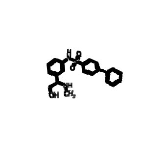 CNC(CO)c1cccc(NS(=O)(=O)c2ccc(-c3ccccc3)cc2)c1